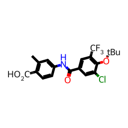 Cc1cc(NC(=O)c2cc(Cl)c(OC(C)(C)C)c(C(F)(F)F)c2)ccc1C(=O)O